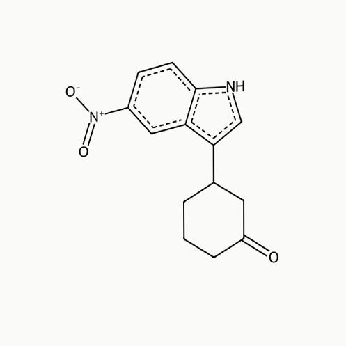 O=C1CCCC(c2c[nH]c3ccc([N+](=O)[O-])cc23)C1